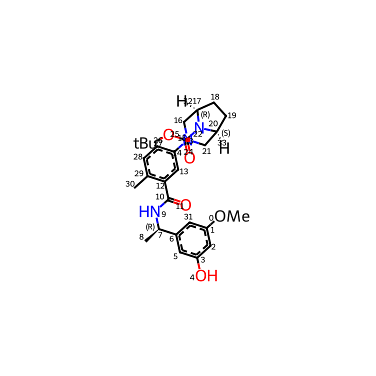 COc1cc(O)cc([C@@H](C)NC(=O)c2cc(N3C[C@H]4CC[C@@H](C3)N4C(=O)OC(C)(C)C)ccc2C)c1